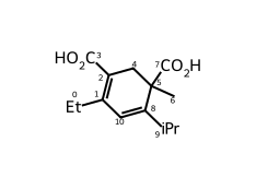 CCC1=C(C(=O)O)CC(C)(C(=O)O)C(C(C)C)=C1